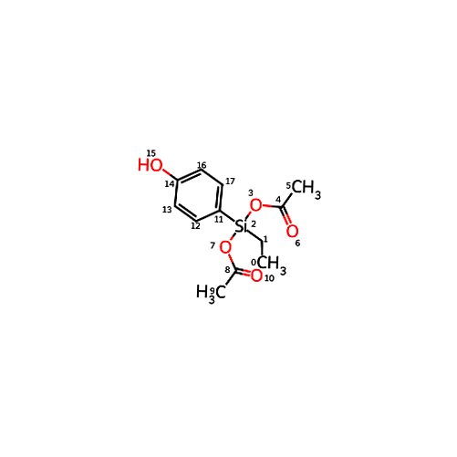 CC[Si](OC(C)=O)(OC(C)=O)c1ccc(O)cc1